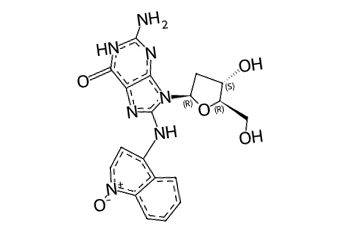 Nc1nc2c(nc(Nc3cc[n+]([O-])c4ccccc34)n2[C@H]2C[C@H](O)[C@@H](CO)O2)c(=O)[nH]1